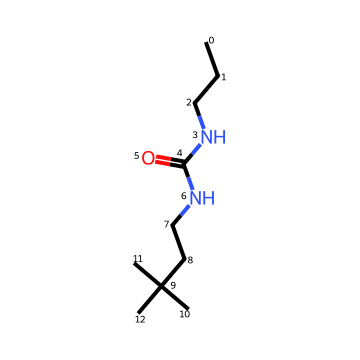 CCCNC(=O)NCCC(C)(C)C